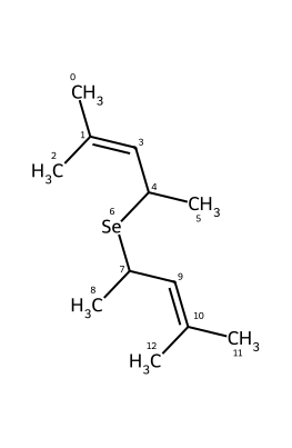 CC(C)=CC(C)[Se]C(C)C=C(C)C